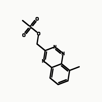 Cc1cccc2nc(COS(C)(=O)=O)nnc12